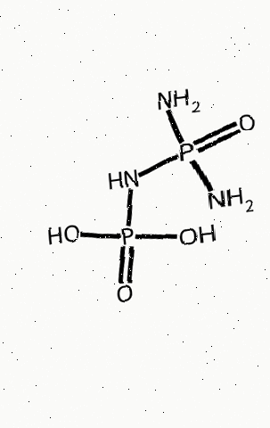 NP(N)(=O)NP(=O)(O)O